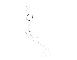 CC(C)(C)OC(=O)N1CCC(n2nnc(COc3ccc(S(C)(=O)=O)cc3F)n2)CC1